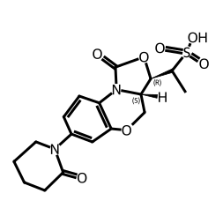 CC([C@@H]1OC(=O)N2c3ccc(N4CCCCC4=O)cc3OC[C@@H]12)S(=O)(=O)O